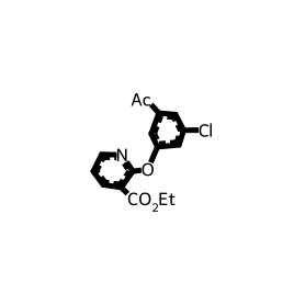 CCOC(=O)c1cccnc1Oc1cc(Cl)cc(C(C)=O)c1